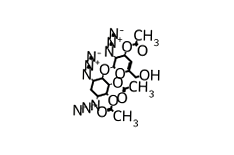 CC(=O)O[C@@H]1[C@@H](OC(C)=O)[C@H](N=[N+]=[N-])C[C@H](N=[N+]=[N-])[C@H]1O[C@H]1OC(CO)=C[C@H](OC(C)=O)[C@H]1N=[N+]=[N-]